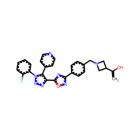 C=C(O)C1CN(Cc2ccc(-c3noc(-c4nnn(-c5ccccc5F)c4-c4ccncc4)n3)cc2)C1